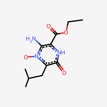 CCOC(=O)c1[nH]c(=O)c(CC(C)C)[n+]([O-])c1N